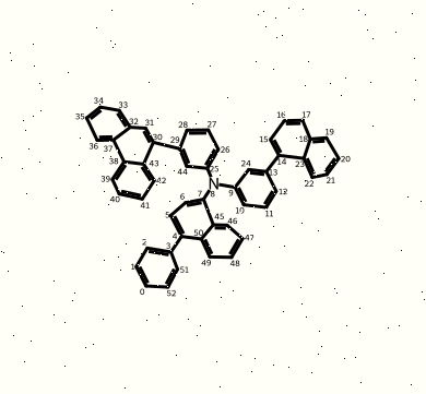 c1ccc(-c2ccc(N(c3cccc(-c4cccc5ccccc45)c3)c3cccc(-c4cc5ccccc5c5ccccc45)c3)c3ccccc23)cc1